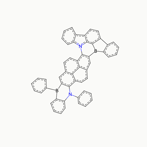 c1ccc(B2c3ccccc3N(c3ccccc3)c3c2cc2ccc4c5c(cc6ccc3c2c64)B2c3ccccc3-c3ccc4c6ccccc6n-5c4c32)cc1